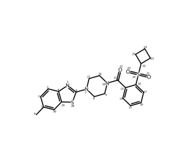 Cc1ccc2nc(N3CCN(C(=O)c4ccccc4S(=O)(=O)C4CCC4)CC3)sc2c1